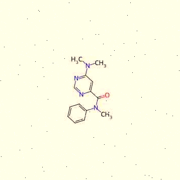 CN(C)c1cc(C(=O)N(C)c2ccccc2)ncn1